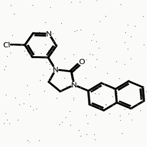 O=C1N(c2cncc(Cl)c2)CCN1c1ccc2ccccc2c1